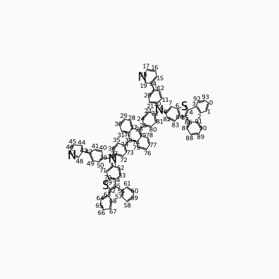 c1ccc(-c2sc3cc(N(c4ccc(-c5cccnc5)cc4)c4ccc(-c5c6ccccc6c(-c6ccc(N(c7ccc(-c8cccnc8)cc7)c7ccc8c(-c9ccccc9)c(-c9ccccc9)sc8c7)cc6)c6ccccc56)cc4)ccc3c2-c2ccccc2)cc1